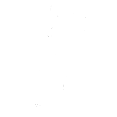 COC(C)CN(C)C(=O)c1ccc(C[C@@H]2CC[C@H]([C@H](O)c3ccccc3)N2)cc1